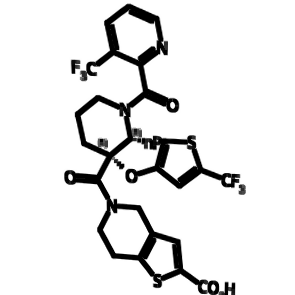 CCC[C@H]1N(C(=O)c2ncccc2C(F)(F)F)CCC[C@]1(Oc1csc(C(F)(F)F)c1)C(=O)N1CCc2sc(C(=O)O)cc2C1